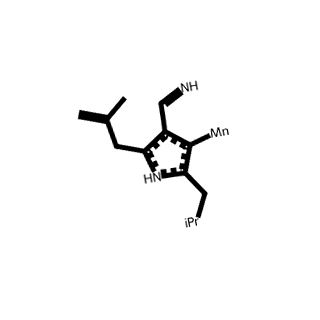 C=C(C)Cc1[nH]c(CC(C)C)[c]([Mn])c1C=N